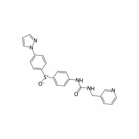 O=C(NCc1cccnc1)Nc1ccc([S+]([O-])c2ccc(-n3cccn3)cc2)cc1